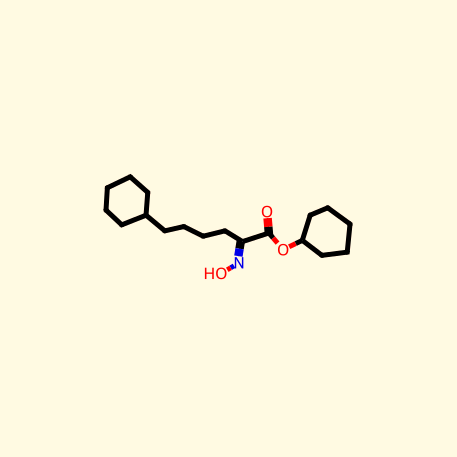 O=C(OC1CCCCC1)C(CCCCC1CCCCC1)=NO